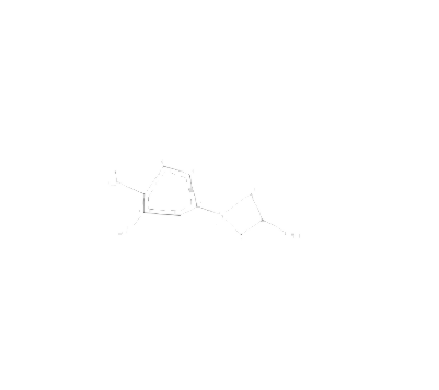 OC1CN(c2ccc(Cl)c(F)c2)C1